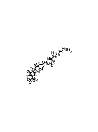 CCc1c2c(nc3ccc(Oc4nc(Cl)nc(NCCSSCCN)n4)cc13)-c1cc3c(c(=O)n1C2)COC(=O)[C@]3(O)CC